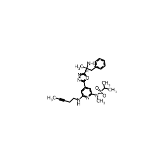 CC#CCCNc1cc(-c2nnc([C@](C)(N)Cc3ccccc3)o2)cc(N(C)S(=O)(=O)C(C)C)n1